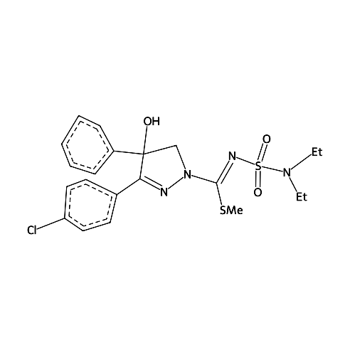 CCN(CC)S(=O)(=O)N=C(SC)N1CC(O)(c2ccccc2)C(c2ccc(Cl)cc2)=N1